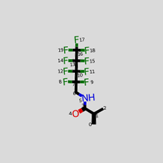 C=C(C)C(=O)NCC(F)(F)C(F)(F)C(F)(F)C(F)(F)F